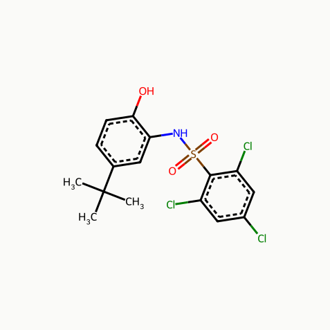 CC(C)(C)c1ccc(O)c(NS(=O)(=O)c2c(Cl)cc(Cl)cc2Cl)c1